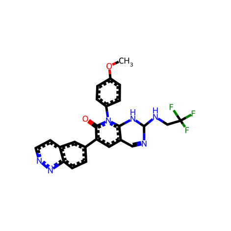 COc1ccc(-n2c3c(cc(-c4ccc5nnccc5c4)c2=O)C=NC(NCC(F)(F)F)N3)cc1